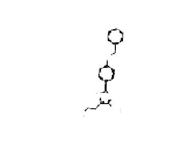 Cc1oc(-c2ccc(OCc3ccccc3)cc2)nc1CCN